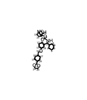 O=C(N[C@@H](c1ccccc1)c1cccc(OCc2ccc(C3OCCO3)cc2)c1)O[C@H]1CN2CCC1CC2